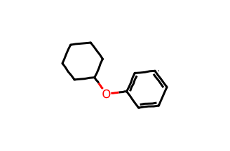 [c]1cccc(OC2CCCCC2)c1